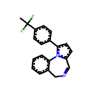 CC(F)(F)c1ccc(-c2ccc3n2-c2ccccc2CN=C3)cc1